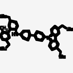 Cc1ccc(CC(C)(C)C)cc1-c1cc(CC(C)(C)C)ccc1Nc1ccc(-c2ccc(-n3c4ccc(CC(C)(C)C)cc4c4cc(CC(C)(C)C)ccc43)cc2)cc1